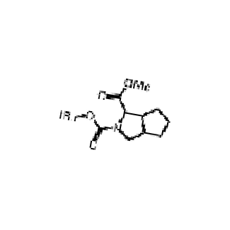 COC(=O)C1C2CCCC2CN1C(=O)OC(C)(C)C